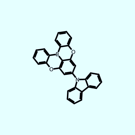 c1ccc2c(c1)Oc1cc(-n3c4ccccc4c4ccccc43)cc3c1B2c1ccccc1O3